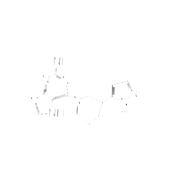 Nc1nc(N2CCCC(c3ccn[nH]3)C2)c2[nH]cnc2n1